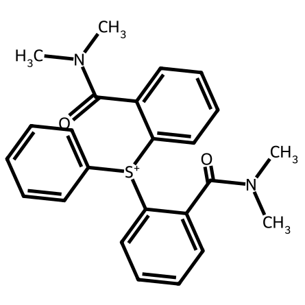 CN(C)C(=O)c1ccccc1[S+](c1ccccc1)c1ccccc1C(=O)N(C)C